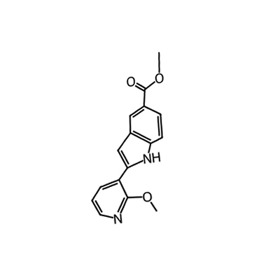 COC(=O)c1ccc2[nH]c(-c3cccnc3OC)cc2c1